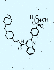 CN(C)S(=O)(=O)c1ccc(-c2cc(C(=O)NCC3CCC(CC4CCOCC4)CC3)c3ccccc3n2)cc1